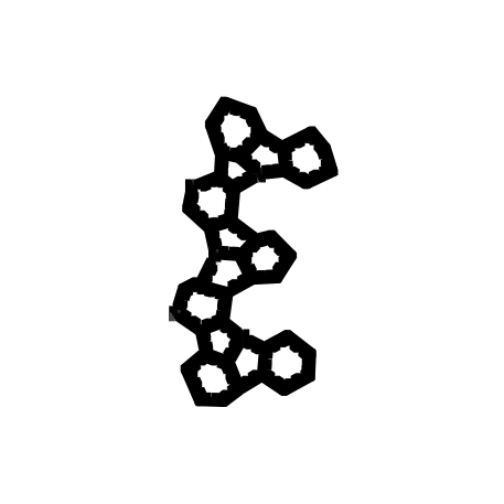 c1ccc2c(c1)c1cccc3c4ncc5c(c6cccc7c8c(cnc9c%10cccc%11c%12ccccc%12n(c%11%10)c98)n5c67)c4n2c13